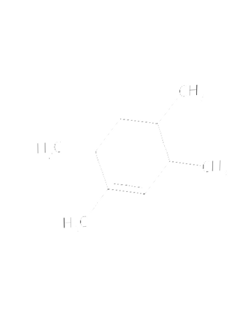 [CH2][C@@H]1CC(C)C(C)C=C1C